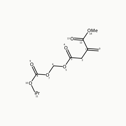 C=C(CC(=O)OCOC(=O)OC(C)C)C(=O)OC